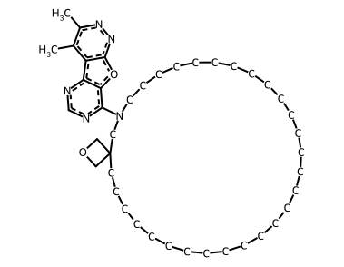 Cc1nnc2oc3c(N4CCCCCCCCCCCCCCCCCCCCCCCCCCCCC5(COC5)C4)ncnc3c2c1C